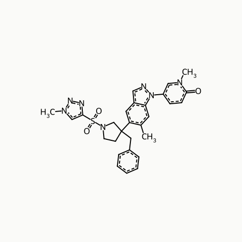 Cc1cc2c(cnn2-c2ccc(=O)n(C)c2)cc1C1(Cc2ccccc2)CCN(S(=O)(=O)c2cn(C)nn2)C1